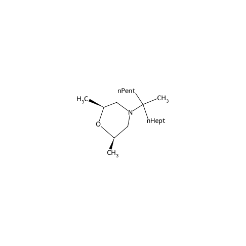 CCCCCCCC(C)(CCCCC)N1C[C@@H](C)O[C@@H](C)C1